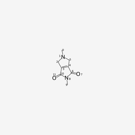 CN1CC2=C(C1)C(=O)N(C)C2=O